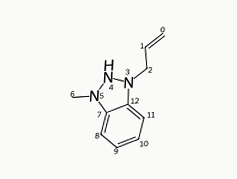 C=CCN1NN(C)c2ccccc21